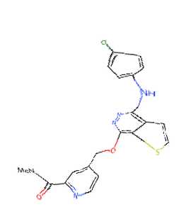 CNC(=O)c1cc(COc2nnc(Nc3ccc(Cl)cc3)c3ccsc23)ccn1